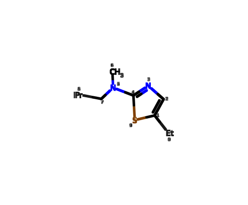 CCc1cnc(N(C)CC(C)C)s1